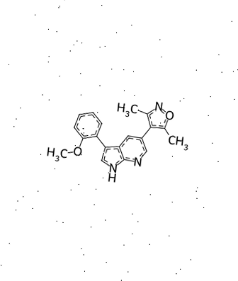 COc1ccccc1-c1c[nH]c2ncc(-c3c(C)noc3C)cc12